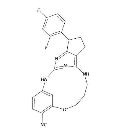 [C-]#[N+]c1ccc2cc1OCCCNc1nc(nc3c1CCC3c1ccc(F)cc1F)N2